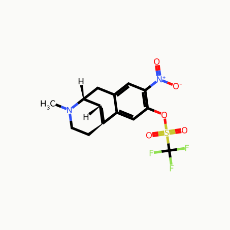 CN1CC[C@]23CCCC[C@H]2[C@H]1Cc1cc([N+](=O)[O-])c(OS(=O)(=O)C(F)(F)F)cc13